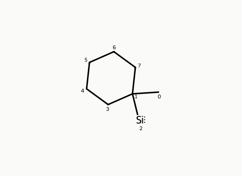 CC1([Si])CCCCC1